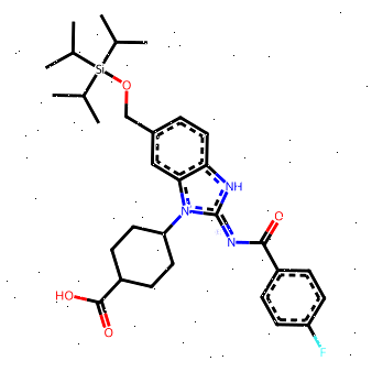 CC(C)[Si](OCc1ccc2[nH]/c(=N\C(=O)c3ccc(F)cc3)n(C3CCC(C(=O)O)CC3)c2c1)(C(C)C)C(C)C